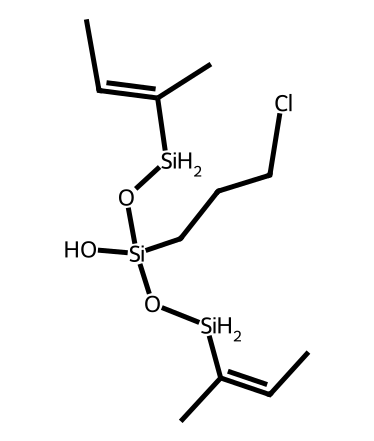 CC=C(C)[SiH2]O[Si](O)(CCCCl)O[SiH2]C(C)=CC